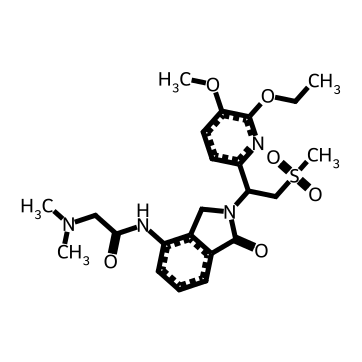 CCOc1nc(C(CS(C)(=O)=O)N2Cc3c(NC(=O)CN(C)C)cccc3C2=O)ccc1OC